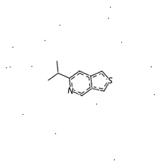 CC(C)c1cc2cscc2cn1